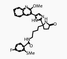 COc1nc2ccccc2cc1-c1cnc(C2(CCCCNC(=O)c3ccc(F)cc3SC)CCC(=O)N2)[nH]1